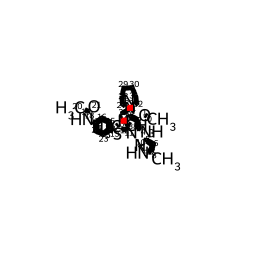 COc1c(Nc2cc(C)[nH]n2)nc(Sc2ccc(NC(C)=O)cc2)nc1N1CC2CCC(C1)N2CCN(C)C